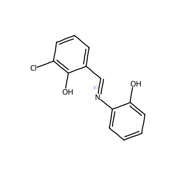 Oc1ccccc1/N=C/c1cccc(Cl)c1O